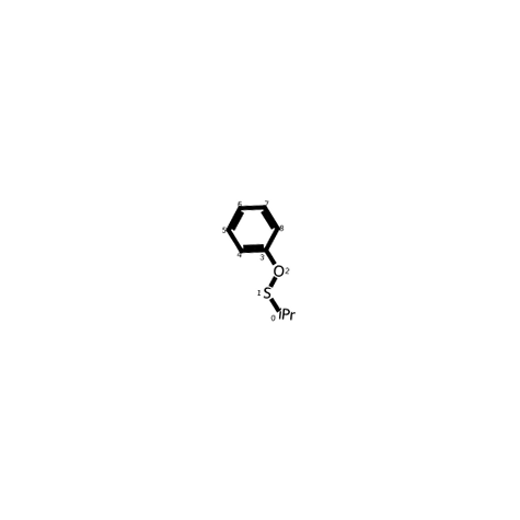 CC(C)SOc1ccccc1